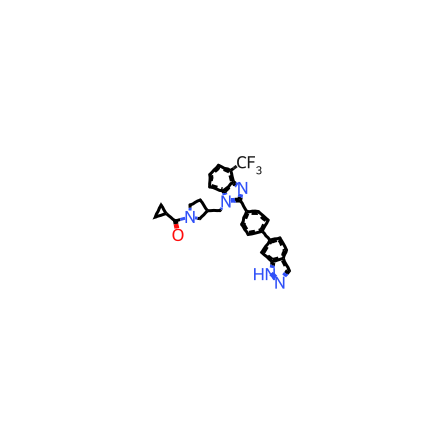 O=C(C1CC1)N1CCC(Cn2c(-c3ccc(-c4ccc5cn[nH]c5c4)cc3)nc3c(C(F)(F)F)cccc32)C1